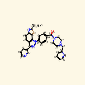 CC(=O)Nc1nc2c(s1)-c1c(c(-c3cccnc3)nn1-c1ccc(C(=O)N3CCN(Cc4ccccn4)CC3)cc1)CC2